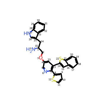 N[C@H](COc1cnc(-c2cccs2)c(-c2cc3ccccc3s2)c1)Cc1c[nH]c2ccccc12